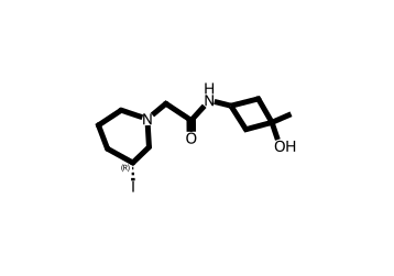 CC1(O)CC(NC(=O)CN2CCC[C@@H](I)C2)C1